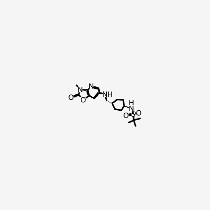 Cn1c(=O)oc2cc(NC[C@H]3CC[C@H](NS(=O)(=O)C(C)(C)C)CC3)cnc21